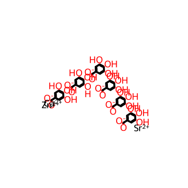 O=C([O-])c1cc(O)c(O)c(O)c1.O=C([O-])c1cc(O)c(O)c(O)c1.O=C([O-])c1cc(O)c(O)c(O)c1.O=C([O-])c1cc(O)c(O)c(O)c1.O=C([O-])c1cc(O)c(O)c(O)c1.O=C([O-])c1cc(O)c(O)c(O)c1.[Ca+2].[Sr+2].[Zn+2]